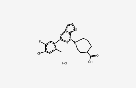 Cl.O=C(O)C1CCCN(c2nc(-c3cc(F)c(Cl)cc3F)nc3ccsc23)CC1